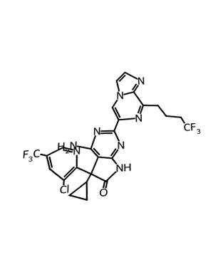 Nc1nc(-c2cn3ccnc3c(CCCC(F)(F)F)n2)nc2c1C(c1ncc(C(F)(F)F)cc1Cl)(C1CC1)C(=O)N2